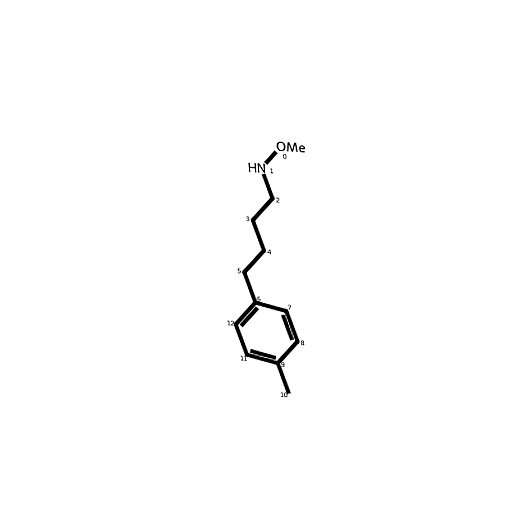 CONCCCCc1ccc(C)cc1